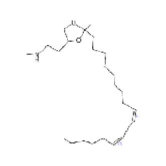 CCCCC/C=C\C/C=C\CCCCCCCCC1(C)OCC(CCNC)O1